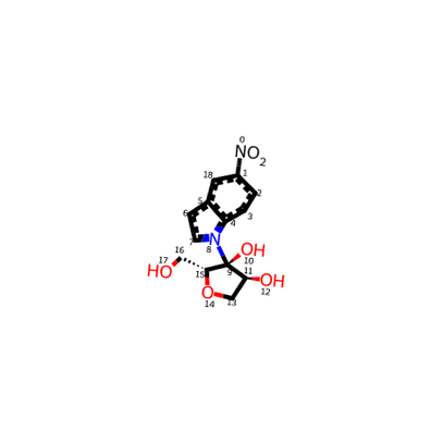 O=[N+]([O-])c1ccc2c(ccn2[C@]2(O)[C@@H](O)CO[C@@H]2CO)c1